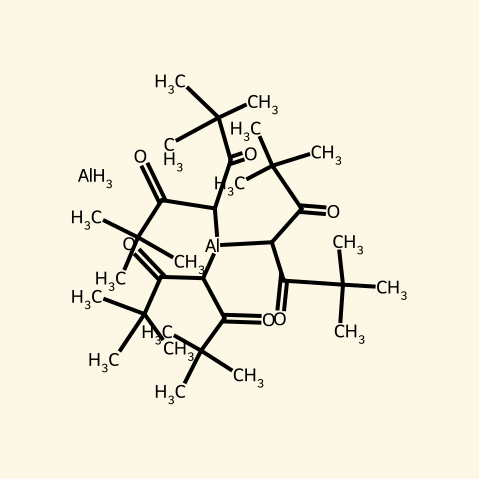 CC(C)(C)C(=O)[CH](C(=O)C(C)(C)C)[Al]([CH](C(=O)C(C)(C)C)C(=O)C(C)(C)C)[CH](C(=O)C(C)(C)C)C(=O)C(C)(C)C.[AlH3]